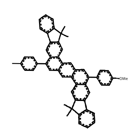 COc1ccc(-c2cc3cc4c(cc(-c5ccc(C)cc5)c5cc6c(cc54)C(C)(C)c4ccccc4-6)cc3c3cc4c(cc23)-c2ccccc2C4(C)C)cc1